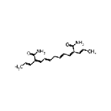 CC=CC(=CC=CCC=CC=C(C=CC)C(N)=O)C(N)=O